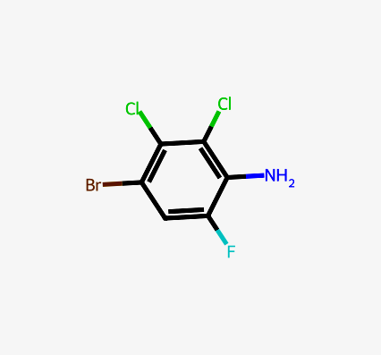 Nc1c(F)cc(Br)c(Cl)c1Cl